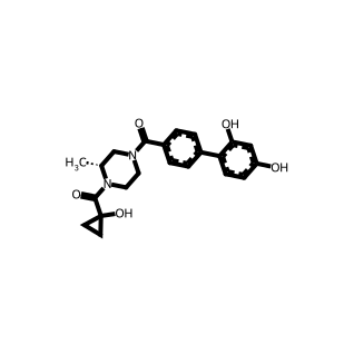 C[C@@H]1CN(C(=O)c2ccc(-c3ccc(O)cc3O)cc2)CCN1C(=O)C1(O)CC1